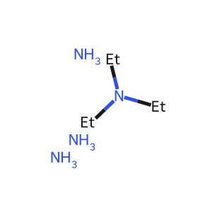 CCN(CC)CC.N.N.N